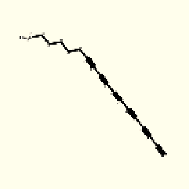 C#CC#CC#CC#CC#CC#CCCCCCC(=O)O